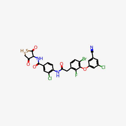 N#Cc1cc(Cl)cc(Oc2c(Br)ccc(CC(=O)Nc3ccc(C(=O)NC4C(=O)C[SH4]C4=O)cc3Cl)c2F)c1